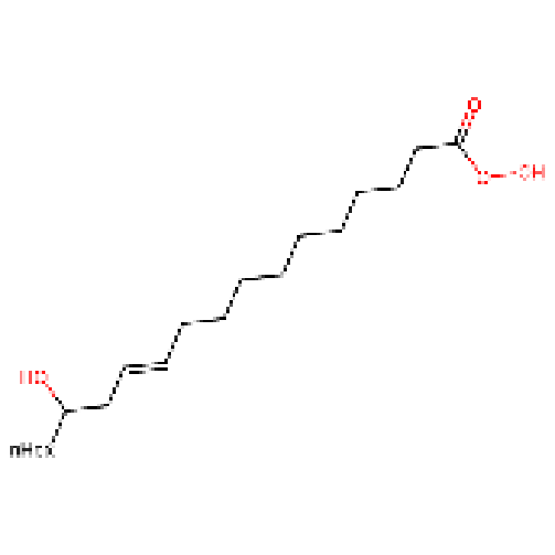 CCCCCCC(O)CC=CCCCCCCCCCC(=O)OO